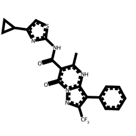 Cc1[nH]c2c(-c3ccccc3)c(C(F)(F)F)nn2c(=O)c1C(=O)Nc1nc(C2CC2)cs1